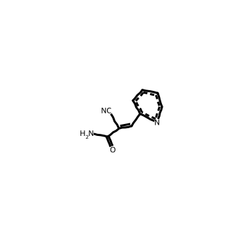 N#C/C(=C\c1ccccn1)C(N)=O